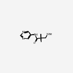 CNCC(C)(C)C(=O)Nc1cncnc1